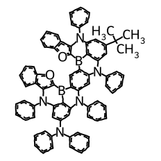 CC(C)(C)c1cc2c3c(c1)N(c1ccccc1)c1c(oc4ccccc14)B3c1cc3c(cc1N2c1ccccc1)N(c1ccccc1)c1cc(N(c2ccccc2)c2ccccc2)cc2c1B3c1oc3ccccc3c1N2c1ccccc1